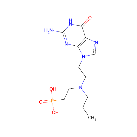 CCCN(CCn1cnc2c(=O)[nH]c(N)nc21)CCP(=O)(O)O